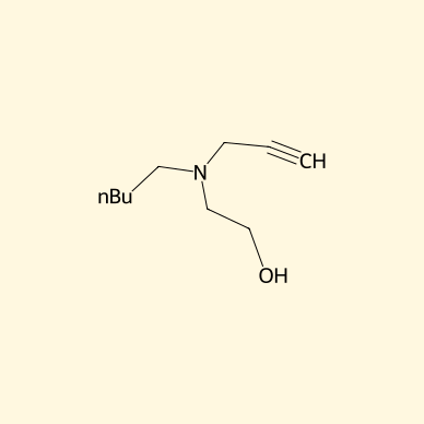 C#CCN(CCO)CCCCC